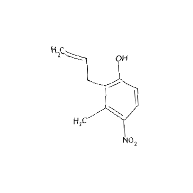 C=CCc1c(O)ccc([N+](=O)[O-])c1C